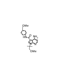 COCc1ccc(NC(=O)c2nn(C(C)(C)COC)c3ncnc(N)c23)cc1